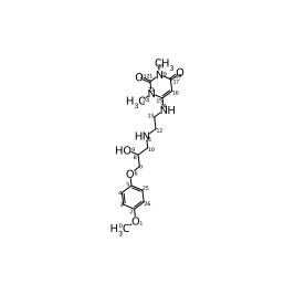 COc1ccc(OCC(O)CNCCNc2cc(=O)n(C)c(=O)n2C)cc1